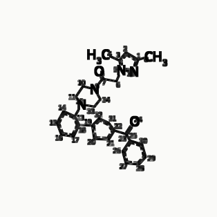 Cc1cc(C)n(CC(=O)N2CCN(c3ccccc3-c3ccc(C(=O)c4ccccc4)cc3)CC2)n1